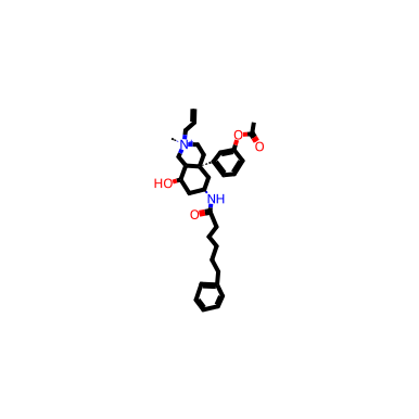 C=CC[N@@+]1(C)CC[C@@]2(c3cccc(OC(C)=O)c3)C[C@H](NC(=O)CCCCCc3ccccc3)CC(O)C2C1